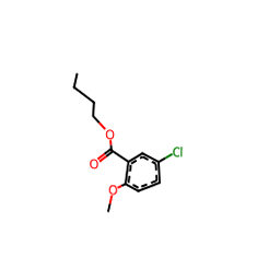 CCCCOC(=O)c1cc(Cl)ccc1OC